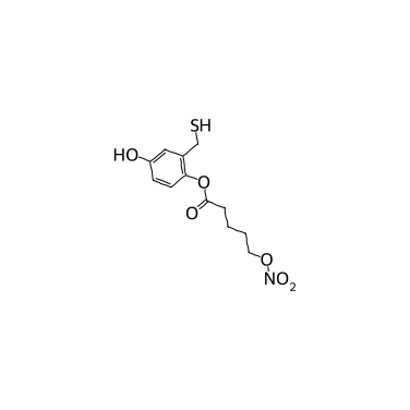 O=C(CCCCO[N+](=O)[O-])Oc1ccc(O)cc1CS